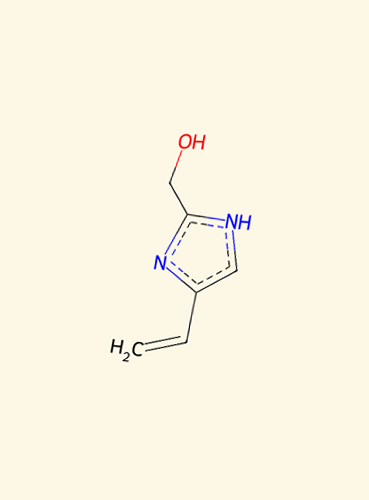 C=Cc1c[nH]c(CO)n1